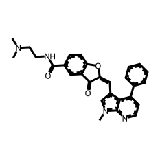 CN(C)CCNC(=O)c1ccc2c(c1)C(=O)C(=Cc1cn(C)c3nccc(-c4ccccc4)c13)O2